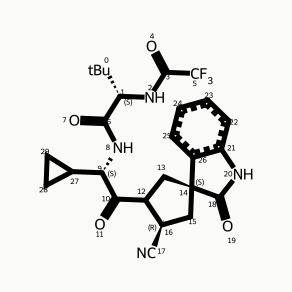 CC(C)(C)[C@H](NC(=O)C(F)(F)F)C(=O)N[C@H](C(=O)C1C[C@]2(C[C@H]1C#N)C(=O)Nc1ccccc12)C1CC1